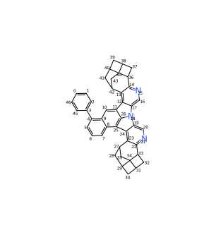 c1ccc(-c2cccc3c2cc2c4c5c(ncc4n4c6cnc7c(c6c3c24)C2CC3CC4CC7C34C2)C2CC3CC4CC5CC432)cc1